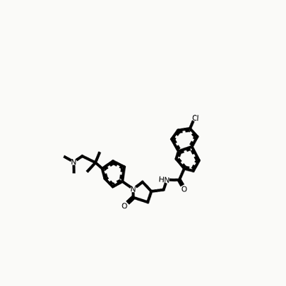 CN(C)CC(C)(C)c1ccc(N2CC(CNC(=O)c3ccc4cc(Cl)ccc4c3)CC2=O)cc1